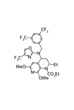 CCOC(=O)N1c2c(cc(OC)nc2OC)C(N(Cc2cc(C(F)(F)F)cc(C(F)(F)F)c2)c2nc(C(F)(F)F)co2)CC1CC